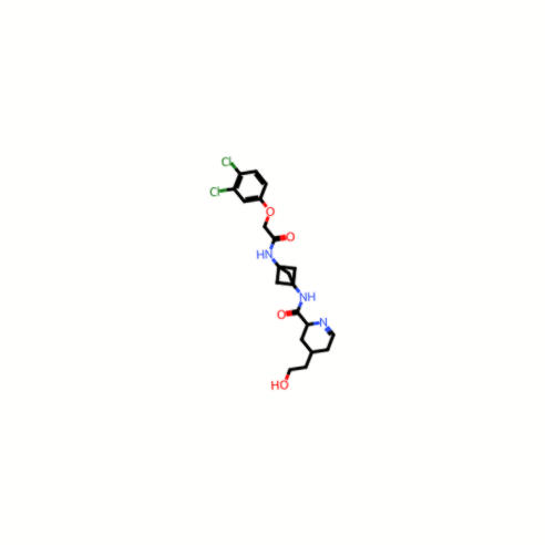 O=C(COc1ccc(Cl)c(Cl)c1)NC12CC(NC(=O)C3CC(CCO)CC=N3)(C1)C2